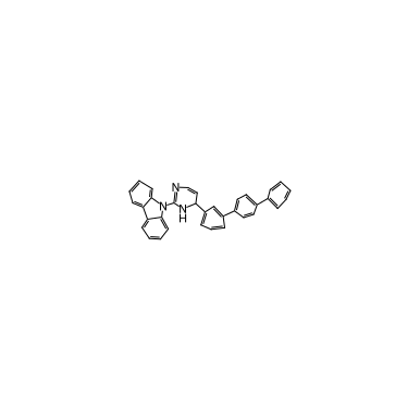 C1=CC(c2cccc(-c3ccc(-c4ccccc4)cc3)c2)NC(n2c3ccccc3c3ccccc32)=N1